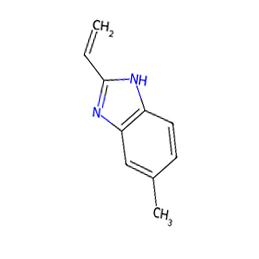 C=Cc1nc2cc(C)ccc2[nH]1